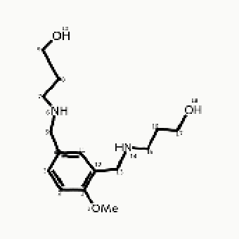 COc1ccc(CNCCCO)cc1CNCCCO